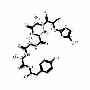 CC(=O)[C@H](Cc1ccc(O)cc1)NC(=O)[C@H](C)NC(=O)[C@H](C)NC(=O)[C@@H](N)NC(=O)[C@H](C)NC(=O)C(Nc1ncc(C=O)s1)C(C)C